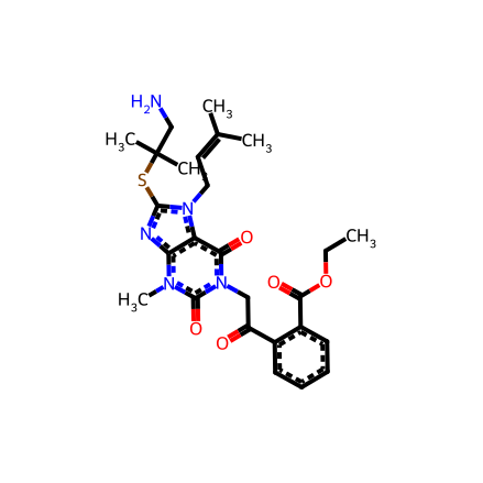 CCOC(=O)c1ccccc1C(=O)Cn1c(=O)c2c(nc(SC(C)(C)CN)n2CC=C(C)C)n(C)c1=O